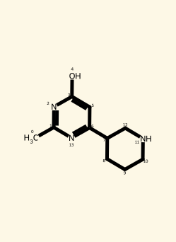 Cc1nc(O)cc(C2CCCNC2)n1